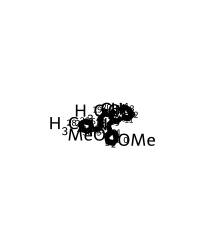 COc1ccc(OC)c(C2C(=Cc3ccccn3)C(=O)C(C)(C)CN2Cc2ccc(C)cc2)c1